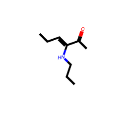 CC/C=C(\NCCC)C(C)=O